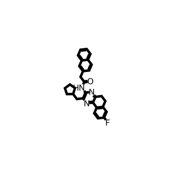 O=C(Cc1ccc2ccccc2c1)Nc1nc2c(nc1CC1CCCC1)-c1ccc(F)cc1CC2